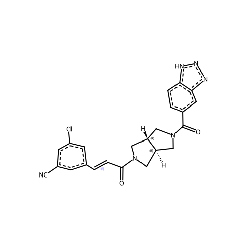 N#Cc1cc(Cl)cc(/C=C/C(=O)N2C[C@@H]3CN(C(=O)c4ccc5[nH]nnc5c4)C[C@H]3C2)c1